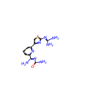 NC(=O)N=C(N)c1cccc(-c2csc(N=C(N)N)n2)n1